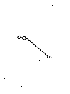 CCCCCCCCCCCCCCCCCCC1CCC(c2cccs2)CC1